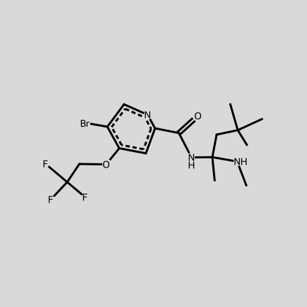 CNC(C)(CC(C)(C)C)NC(=O)c1cc(OCC(F)(F)F)c(Br)cn1